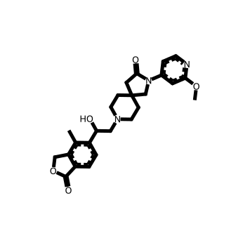 COc1cc(N2CC3(CCN(CC(O)c4ccc5c(c4C)COC5=O)CC3)CC2=O)ccn1